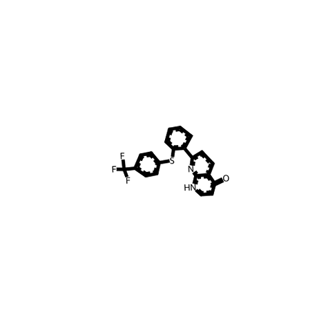 O=c1cc[nH]c2nc(-c3ccccc3Sc3ccc(C(F)(F)F)cc3)ccc12